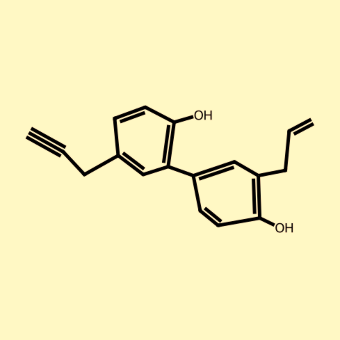 C#CCc1ccc(O)c(-c2ccc(O)c(CC=C)c2)c1